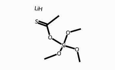 CO[Si](OC)(OC)OC(C)=S.[LiH]